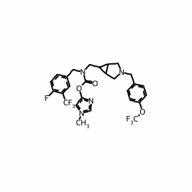 Cn1cnc(OC(=O)N(Cc2ccc(F)c(C(F)(F)F)c2)CC2C3CN(Cc4ccc(OC(F)(F)F)cc4)CC32)c1